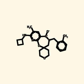 Cc1ccccc1CN1CC2(CCOCC2)Oc2nc(NC3CCC3)c(C)cc2[S+]1[O-]